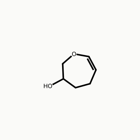 OC1CCC=COC1